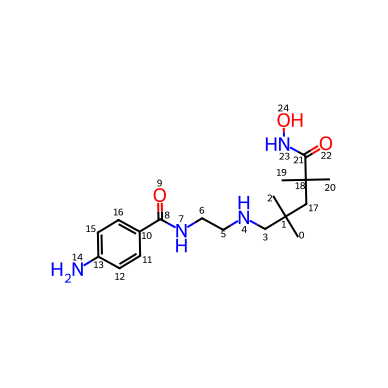 CC(C)(CNCCNC(=O)c1ccc(N)cc1)CC(C)(C)C(=O)NO